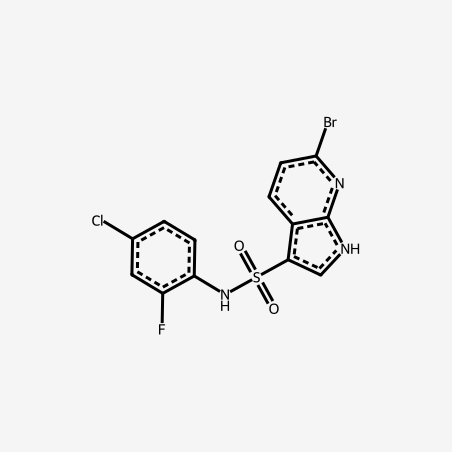 O=S(=O)(Nc1ccc(Cl)cc1F)c1c[nH]c2nc(Br)ccc12